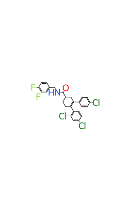 O=C(NCc1ccc(F)c(F)c1)C1CCC(c2ccc(Cl)cc2Cl)=C(c2ccc(Cl)cc2)C1